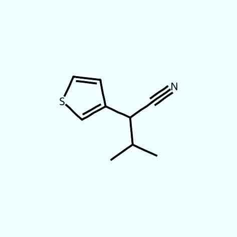 CC(C)C(C#N)c1ccsc1